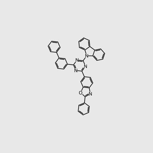 c1ccc(-c2cccc(-c3nc(-c4ccc5nc(-c6ccccc6)oc5c4)nc(-n4c5ccccc5c5ccccc54)n3)c2)cc1